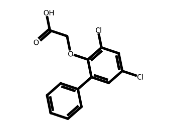 O=C(O)COc1c(Cl)cc(Cl)cc1-c1ccccc1